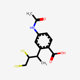 CC(=O)Nc1ccc(C(=O)O)c(C(C)C(S)CS)c1